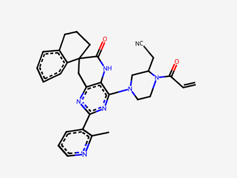 C=CC(=O)N1CCN(c2nc(-c3cccnc3C)nc3c2NC(=O)C2(CCCc4ccccc42)C3)CC1CC#N